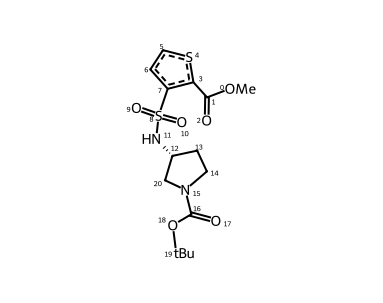 COC(=O)c1sccc1S(=O)(=O)N[C@@H]1CCN(C(=O)OC(C)(C)C)C1